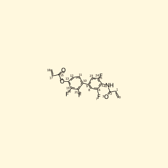 C=CC(=O)Nc1c(F)cc(-c2ccc(OC(=O)C=C)c(F)c2F)cc1F